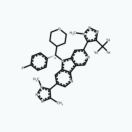 [2H]C([2H])([2H])c1nnn(C)c1-c1cc2c(cn1)c1ncc(-c3c(C)nnn3C)cc1n2[C@H](c1ccc(F)cc1)C1CCOCC1